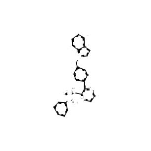 O=S(=O)(c1ccccc1)N(c1nccnc1-c1ccc(Cn2ccc3ccccc32)cc1)C(F)(F)F